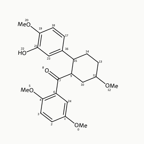 COc1ccc(OC)c(C(=O)C2CC(OC)CCC2c2ccc(OC)c(O)c2)c1